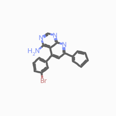 Nc1ncnc2nc(-c3ccccc3)cc(-c3cccc(Br)c3)c12